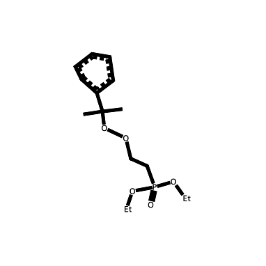 CCOP(=O)(CCOOC(C)(C)c1ccccc1)OCC